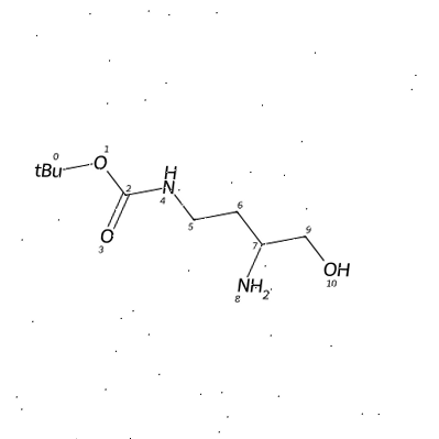 CC(C)(C)OC(=O)NCCC(N)CO